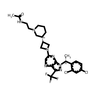 CC(=O)NCCN1CCC[C@H](C2CN(c3cnc4c(C(F)(F)F)nn([C@H](C)c5ccc(Cl)cc5Cl)c4n3)C2)C1